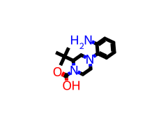 CC(C)(C)C1CN(c2ccccc2N)CCN1C(=O)O